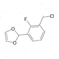 Fc1c(CCl)cccc1C1OC=CO1